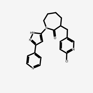 O=C1C(Cc2ccc(Cl)nc2)CCCCN1c1cc(-c2ccncc2)n[nH]1